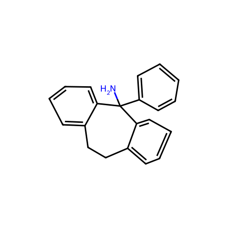 NC1(c2ccccc2)c2ccccc2CCc2ccccc21